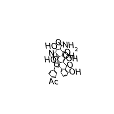 CC(=O)c1ccc(/C=C2\c3cccc(O)c3C(=O)C3=C(O)[C@]4(O)C(=O)C(C(N)=O)C(O)[C@@H](N(C)C)[C@@H]4[C@@H](O)[C@@H]32)cc1